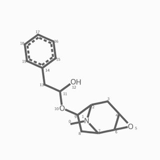 CN1C2CC3OC3C1CC2OC(O)Cc1ccccc1